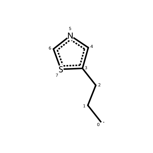 [CH2]CCc1cncs1